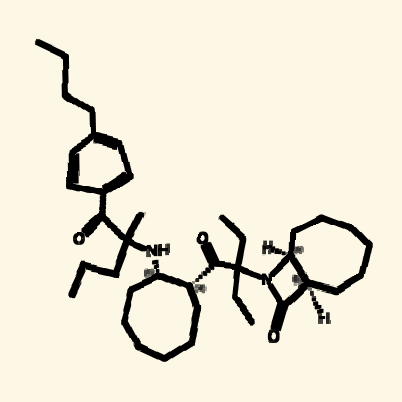 CCCCc1ccc(C(=O)C(C)(CCC)N[C@H]2CCCCCC[C@H]2C(=O)C(CC)(CC)N2C(=O)[C@@H]3CCCCCC[C@@H]32)cc1